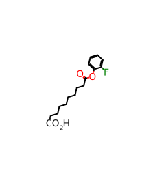 O=C(O)CCCCCCCCC(=O)Oc1ccccc1F